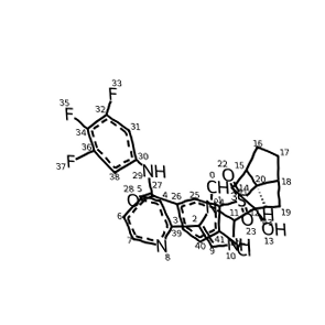 CN1C(c2ccccn2)=CNC1[C@]1(O)CC2CCC(C1)[C@H]2S(=O)(=O)c1cc(C(=O)Nc2cc(F)c(F)c(F)c2)ccc1Cl